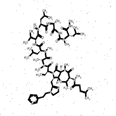 CC[C@@H](C(=O)N(C)[C@H](C)C(=O)N(C)[C@@H](CC(C)C)C(=O)N[C@H](C(=O)N(C)[C@@H](CC(C)C)C(=O)N[C@H](C)C(=O)NC(=O)N(C)[C@@H](CC(C)C)C(=O)NC)C(C)C)N1C(=O)[C@@H]2[C@H](OC(C)[C@H](N(C)C(=O)CCC(C)C)C(=O)N2C)[C@H]1CC1=NCCN1CCc1cccnc1